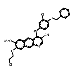 COc1cc2cc3c(Nc4ccc(OCc5ccccc5)c(Cl)c4)c(C#N)cnc3cc2cc1OCCCl